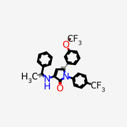 C[C@@H](NC1=C[C@H](c2cccc(OC(F)(F)F)c2)N(c2ccc(C(F)(F)F)cc2)C1=O)c1ccccc1